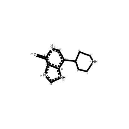 O=c1[nH]cc(C2CCNCC2)c2[nH]cnc12